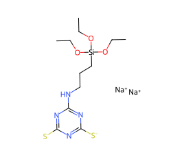 CCO[Si](CCCNc1nc([S-])nc([S-])n1)(OCC)OCC.[Na+].[Na+]